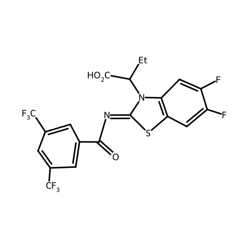 CCC(C(=O)O)n1c(=NC(=O)c2cc(C(F)(F)F)cc(C(F)(F)F)c2)sc2cc(F)c(F)cc21